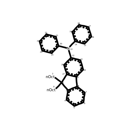 CCCCCCCCC1(CCCCCCCC)c2ccccc2-c2ccc(N(c3ccccc3)c3ccccc3)cc21